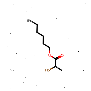 CC(C)CCCCCOC(=O)C(C)S